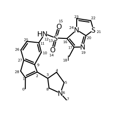 CC1=C(C2CCN(C)C2)c2cc(NS(=O)(=O)c3c(I)nc4sccn34)ccc2C1